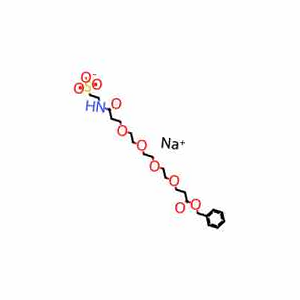 O=C(CCOCCOCCOCCOCCC(=O)OCc1ccccc1)NCCS(=O)(=O)[O-].[Na+]